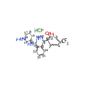 Cl.Oc1cc(C(F)(F)F)ccc1-c1nnc(N[C@@H]2CCCNC2)c2ccccc12